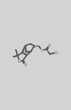 CC1(C)OC(=O)C2C3CC(C[C@H]3COC(=O)CCl)C21